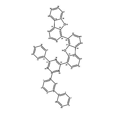 c1ccc(-c2cccc(-c3nc(-c4ccccc4)nc(-c4cccc5c4oc4c(-c6cccc7c6oc6ccccc67)cccc45)n3)c2)cc1